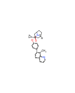 Cc1c(-c2ccc(O[C@@H]3CC4CC[C@H](C3)N4C(=O)C3CC3)cc2)ccc2cccnc12